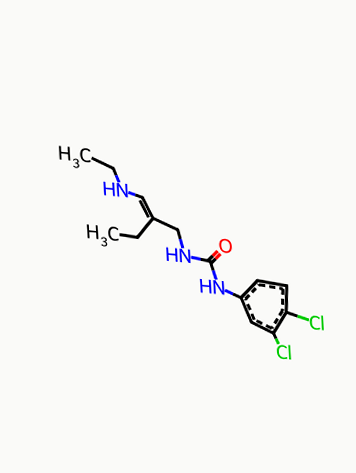 CCN/C=C(\CC)CNC(=O)Nc1ccc(Cl)c(Cl)c1